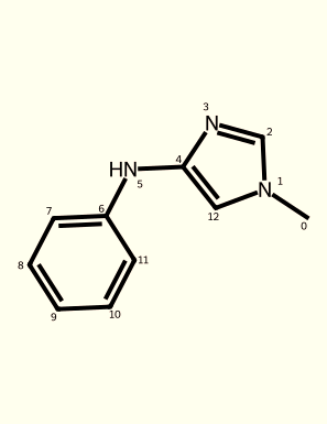 Cn1cnc(Nc2ccccc2)c1